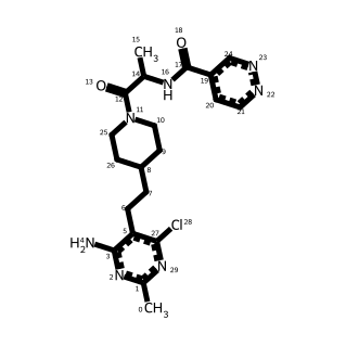 Cc1nc(N)c(CCC2CCN(C(=O)C(C)NC(=O)c3ccnnc3)CC2)c(Cl)n1